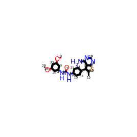 COc1cc(NC(=O)Nc2ccc(-c3c(C)sc4ncnc(N)c34)cc2)cc(OC)c1